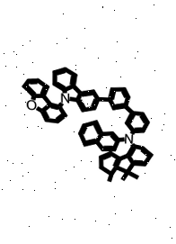 CC1CC=CC2=C1C(C)(C)c1cccc(N(c3cccc(-c4cccc(-c5ccc6c(c5)c5ccccc5n6-c5cccc6oc7ccccc7c56)c4)c3)c3ccc4ccccc4c3)c12